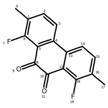 Cc1ccc2c(c1F)C(=O)C(=O)c1c-2ccc(C)c1F